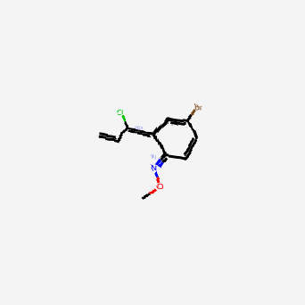 C=C/C(Cl)=C1/C=C(Br)C=C/C1=N\OC